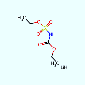 CCOC(=O)NS(=O)(=O)OCC.[LiH]